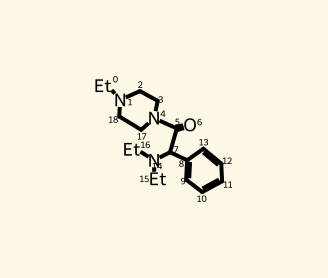 CCN1CCN(C(=O)C(c2ccccc2)N(CC)CC)CC1